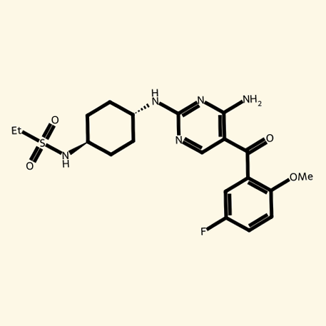 CCS(=O)(=O)N[C@H]1CC[C@H](Nc2ncc(C(=O)c3cc(F)ccc3OC)c(N)n2)CC1